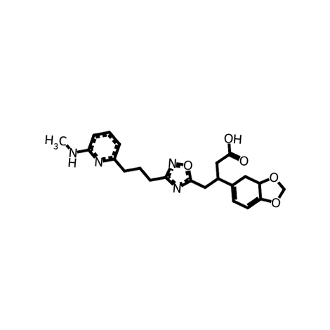 CNc1cccc(CCCc2noc(CC(CC(=O)O)C3=CC=C4OCOC4C3)n2)n1